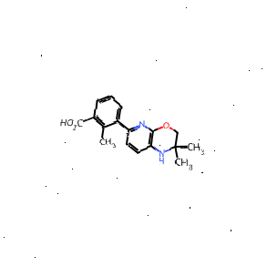 Cc1c(C(=O)O)cccc1-c1ccc2c(n1)OCC(C)(C)N2